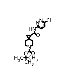 CC(C)(C)OC(=O)N1CCC2(CC1)CC2C(=O)Nc1ccc(Cl)nn1